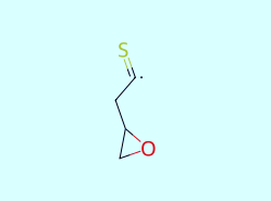 S=[C]CC1CO1